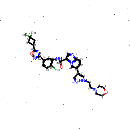 N=C/C(=C\NCCN1CCOCC1)c1ccc2ncc(C(=O)Nc3cc(-c4noc(C5CC(F)(F)C5)n4)ccc3F)n2c1